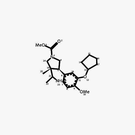 COC(=O)N1C[C@@H](c2ccc(OC)c(OC3CCCC3)c2)[C@](C)(C(C)NC(C)=O)C1